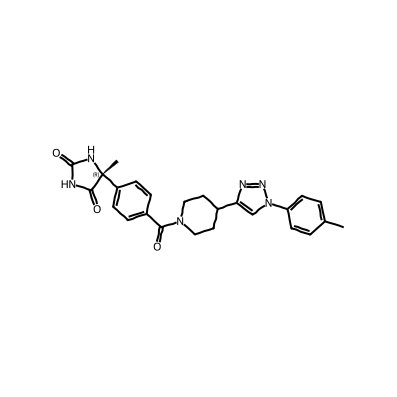 Cc1ccc(-n2cc(C3CCN(C(=O)c4ccc([C@@]5(C)NC(=O)NC5=O)cc4)CC3)nn2)cc1